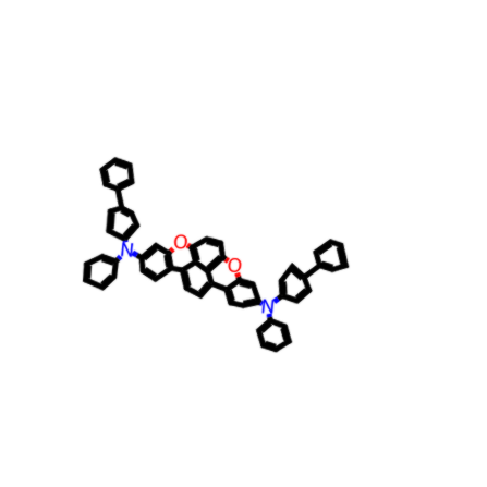 c1ccc(-c2ccc(N(c3ccccc3)c3ccc4c(c3)Oc3ccc5c6c(ccc-4c36)-c3ccc(N(c4ccccc4)c4ccc(-c6ccccc6)cc4)cc3O5)cc2)cc1